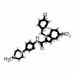 CN1CCN(c2ccc(NC(=O)c3cc4cc([N+](=O)[O-])ccc4n3Cc3ccc(Cl)cc3)cc2)CC1